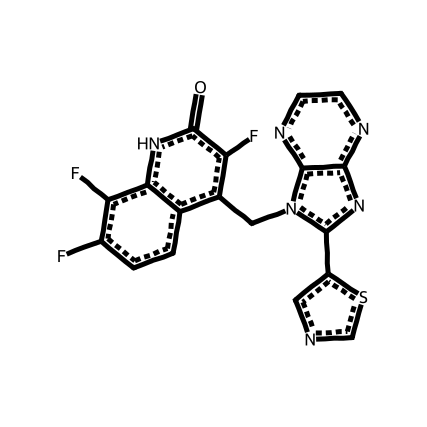 O=c1[nH]c2c(F)c(F)ccc2c(Cn2c(-c3cncs3)nc3nccnc32)c1F